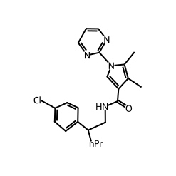 CCCC(CNC(=O)c1cn(-c2ncccn2)c(C)c1C)c1ccc(Cl)cc1